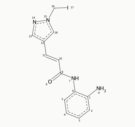 Nc1ccccc1NC(=O)/C=C/c1cnn(CI)c1